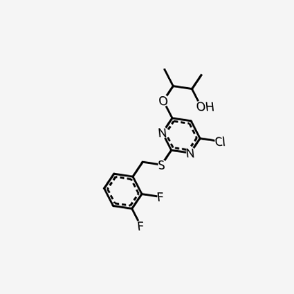 CC(O)C(C)Oc1cc(Cl)nc(SCc2cccc(F)c2F)n1